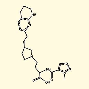 Cn1nccc1C(=O)NC(CCN1CC[C@@H](CCc2ccc3c(n2)NCCC3)C1)C(=O)O